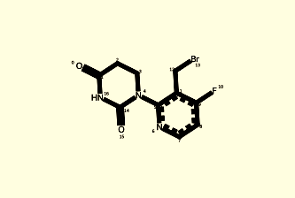 O=C1CCN(c2nccc(F)c2CBr)C(=O)N1